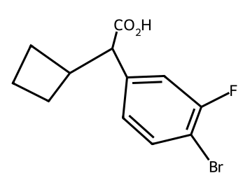 O=C(O)C(c1ccc(Br)c(F)c1)C1CCC1